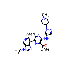 CNc1nc(Nc2cnn(C3CCN(C)CC3)c2)c(C(=O)OC)nc1-c1cncc2c1ncn2C